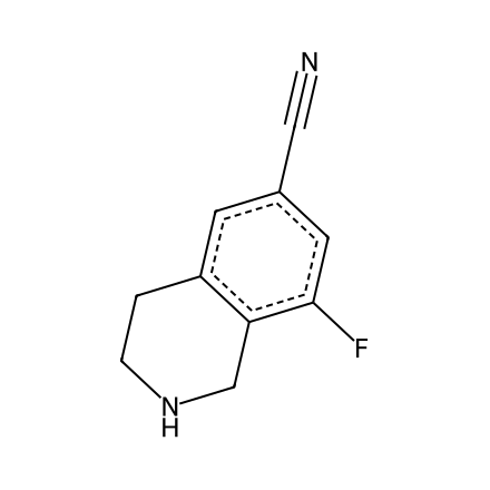 N#Cc1cc(F)c2c(c1)CCNC2